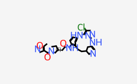 Cc1oncc1C(=O)N1CC[C@@H](CC(=O)Nc2ccc3cc2CCC2C=NC=C(C2)Nc2ncc(Cl)c(n2)N3)C1